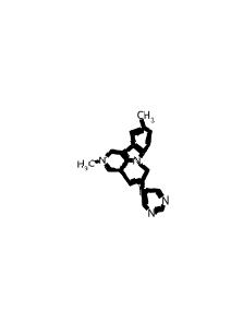 Cc1ccc2c(c1)c1c3n2CC(c2cncnc2)=CC3CN(C)C1